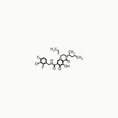 CCC[C@@H]1CN([C@@H](C)CCC)C(=O)c2c(O)c(=O)c(C(=O)NCc3ccc(F)c(Cl)c3F)cn21